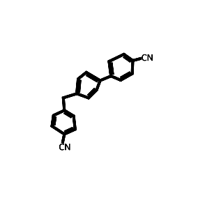 N#Cc1ccc(Cc2ccc(-c3ccc(C#N)cc3)cc2)cc1